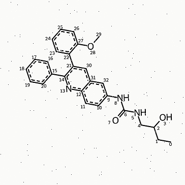 CCC(O)CNC(=O)Nc1ccc2nc(-c3ccccc3)c(-c3ccccc3OC)cc2c1